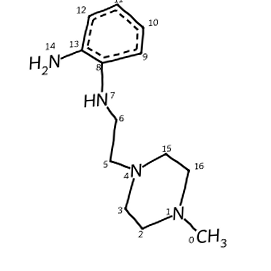 CN1CCN(CCNc2ccccc2N)CC1